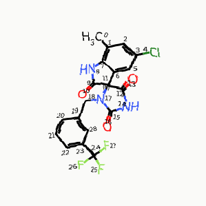 Cc1cc(Cl)cc2c1NC(=O)[C@@]21C(=O)NC(=O)N1Cc1cccc(C(F)(F)F)c1